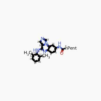 CCCCCC(=O)Nc1ccc2nc(Nc3c(C)cccc3C)c3cncn3c2c1